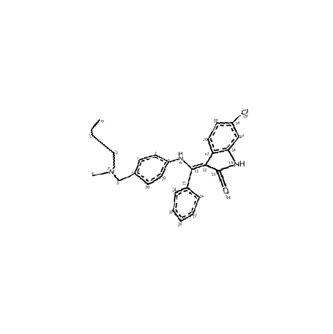 CCCN(C)Cc1ccc(NC(=C2C(=O)Nc3cc(Cl)ccc32)c2ccccc2)cc1